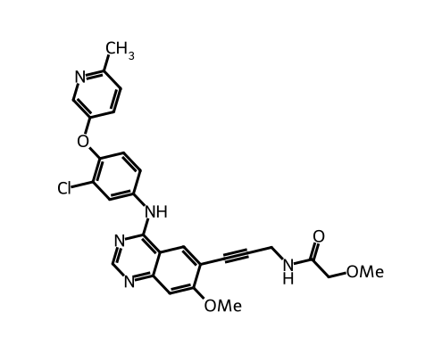 COCC(=O)NCC#Cc1cc2c(Nc3ccc(Oc4ccc(C)nc4)c(Cl)c3)ncnc2cc1OC